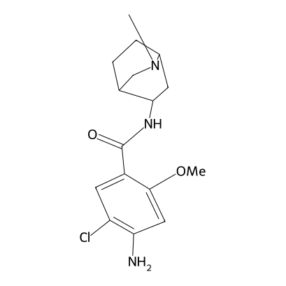 COc1cc(N)c(Cl)cc1C(=O)NC1CC2CCC1CN2C